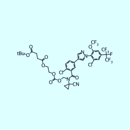 CC(C)(C)OC(=O)CCC(=O)OCCOC(=O)OCN(C(=O)c1cc(-c2cnn(-c3c(Cl)cc(C(F)(C(F)(F)F)C(F)(F)F)cc3OC(F)(F)F)c2)ccc1Cl)C1(C#N)CC1